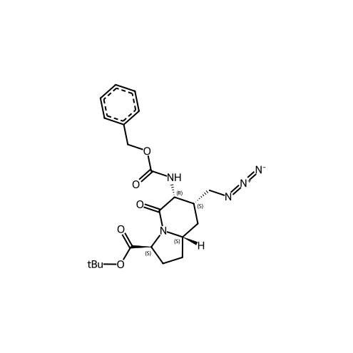 CC(C)(C)OC(=O)[C@@H]1CC[C@H]2C[C@@H](CN=[N+]=[N-])[C@@H](NC(=O)OCc3ccccc3)C(=O)N21